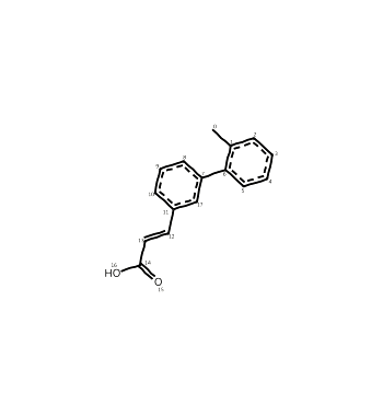 Cc1ccccc1-c1cccc(C=CC(=O)O)c1